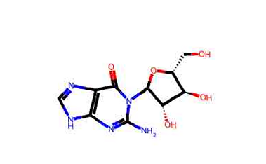 Nc1nc2[nH]cnc2c(=O)n1C1O[C@H](CO)[C@@H](O)[C@@H]1O